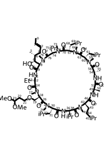 C/C=C/C[C@@H](C)[C@@H](O)[C@H]1C(=O)N[C@@H](CC)C(=O)N(C)[C@H](COCCC(OC)OC)C(=O)N(C)[C@@H](CC(C)C)C(=O)N[C@H](C(C)C)C(=O)N(C)[C@H](CCC(C)C)C(=O)N[C@H](C)C(=O)N[C@@H](C)C(=O)N(C)[C@@H](CC(C)C)C(=O)N(C)[C@@H](CC(C)C)C(=O)N(C)[C@@H](C(C)C)C(=O)N1C